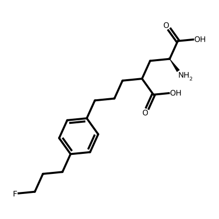 N[C@@H](CC(CCCc1ccc(CCCF)cc1)C(=O)O)C(=O)O